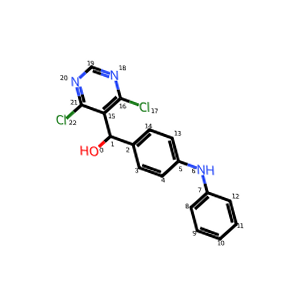 OC(c1ccc(Nc2ccccc2)cc1)c1c(Cl)ncnc1Cl